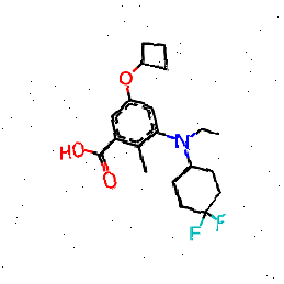 CCN(c1cc(OC2CCC2)cc(C(=O)O)c1C)C1CCC(F)(F)CC1